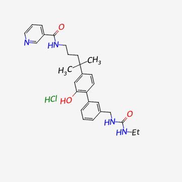 CCNC(=O)NCc1cccc(-c2ccc(C(C)(C)CCCNC(=O)c3cccnc3)cc2O)c1.Cl